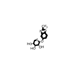 Cc1nc2cc(O[C@H]3SC[C@@H](O)[C@H](O)[C@H]3O)ccc2s1